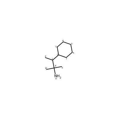 CC(C1CCCCC1)C(C)(C)N